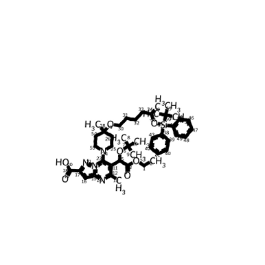 CCOC(=O)C(OC(C)(C)C)c1c(C)nc2cc(C(=O)O)nn2c1N1CCC(C)(OCCCCC(C)O[Si](c2ccccc2)(c2ccccc2)C(C)(C)C)CC1